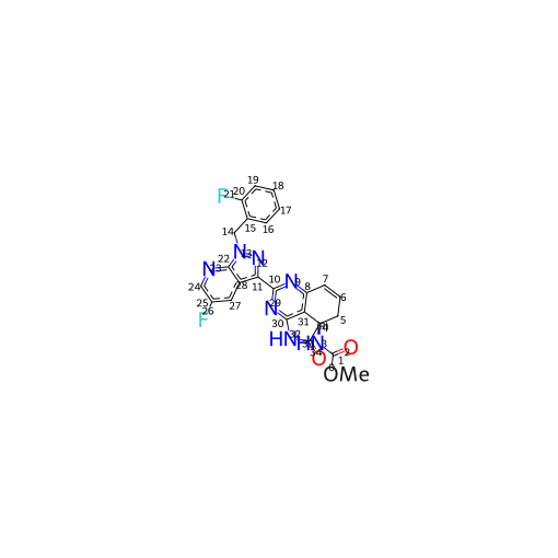 COC(=O)N[C@]12CC=Cc3nc(-c4nn(Cc5ccccc5F)c5ncc(F)cc45)nc(c31)NC2=O